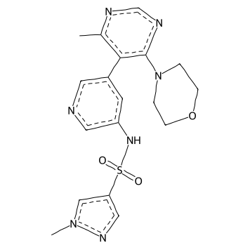 Cc1ncnc(N2CCOCC2)c1-c1cncc(NS(=O)(=O)c2cnn(C)c2)c1